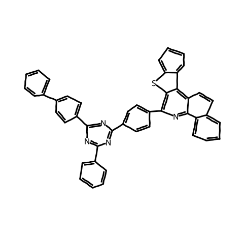 c1ccc(-c2ccc(-c3nc(-c4ccccc4)nc(-c4ccc(-c5nc6c7ccccc7ccc6c6c5sc5ccccc56)cc4)n3)cc2)cc1